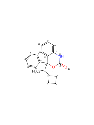 CC(C1CCC1)C1(c2ccccc2)OC(=O)Nc2ccccc21